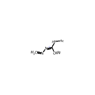 C=N/N=C(/NC(C)=O)OC